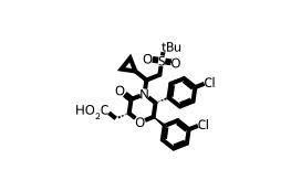 CC(C)(C)S(=O)(=O)CC(C1CC1)N1C(=O)[C@@H](CC(=O)O)O[C@H](c2cccc(Cl)c2)[C@H]1c1ccc(Cl)cc1